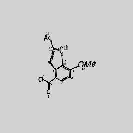 COc1ccc(C(=O)Cl)c2cc(C(C)=O)oc12